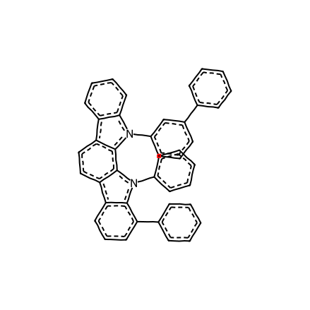 c1ccc(-c2cccc(-n3c4ccccc4c4ccc5c6cccc(-c7ccccc7)c6n(-c6ccccc6)c5c43)c2)cc1